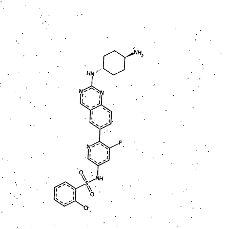 N[C@H]1CC[C@H](Nc2ncc3cc(-c4ncc(NS(=O)(=O)c5ccccc5Cl)cc4F)ccc3n2)CC1